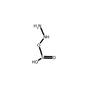 NNOS(=O)O